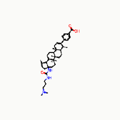 CC1CCC2(NC(=O)NCCCN(C)C)CC[C@]3(C)C(CCC4C5(C)CC=C(c6ccc(C(=O)O)cc6)C(C)C5CCC43C)C12